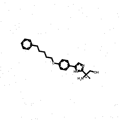 C[C@](N)(CO)c1ncc(-c2ccc(OCCCCCc3ccccc3)cc2)[nH]1